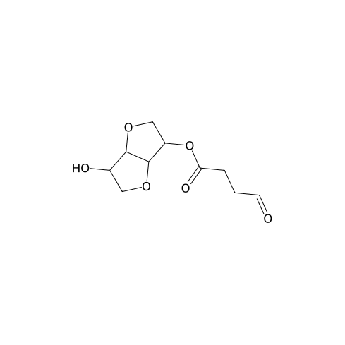 O=CCCC(=O)OC1COC2C(O)COC12